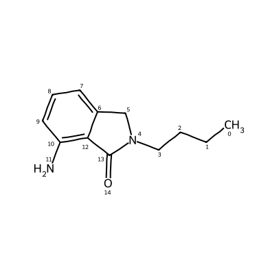 CCCCN1Cc2cccc(N)c2C1=O